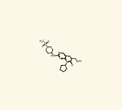 COCc1cc2cnc(NC3CCN(S(C)(=O)=O)CC3)nc2n(C2CCCC2)c1=O